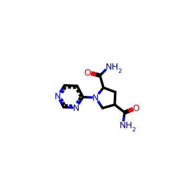 NC(=O)C1CC(C(N)=O)N(c2ccncn2)C1